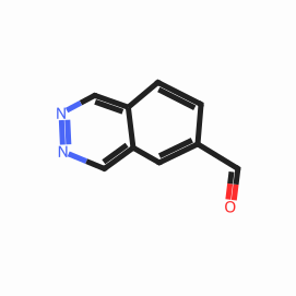 O=Cc1ccc2cnncc2c1